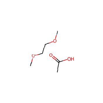 CC(=O)O.COCCOC